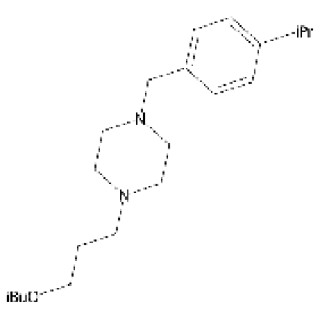 CC(C)COCCCN1CCN(Cc2ccc(C(C)C)cc2)CC1